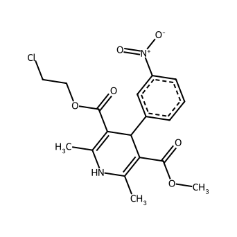 COC(=O)C1=C(C)NC(C)=C(C(=O)OCCCl)C1c1cccc([N+](=O)[O-])c1